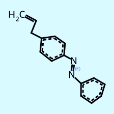 C=CCc1ccc(/N=N/c2ccccc2)cc1